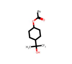 CCC(C)C(=O)OC1CCC(C(C)(O)C(F)(F)F)CC1